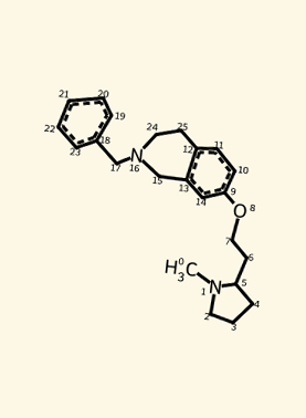 CN1CCCC1CCOc1ccc2c(c1)CN(Cc1ccccc1)CC2